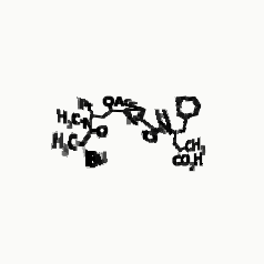 CCC(C)[C@H](C)C(=O)N(C)[C@H](C[C@@H](OC(C)=O)c1nc(C(=O)N[C@@H](Cc2ccccc2)C[C@H](C)C(=O)O)cs1)C(C)C